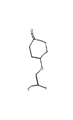 O=C1CCC(OCC(F)F)CC1